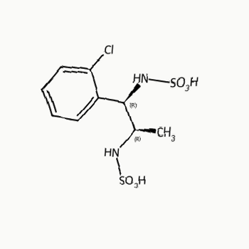 C[C@@H](NS(=O)(=O)O)[C@H](NS(=O)(=O)O)c1ccccc1Cl